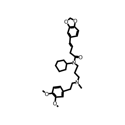 COc1ccc(CCN(C)CCCN(C(=O)C/C=C/c2ccc3c(c2)OCO3)C2CCCCC2)cc1OC